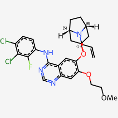 C=CCN1[C@@H]2CC[C@H]1C[C@H](Oc1cc3c(Nc4ccc(Cl)c(Cl)c4F)ncnc3cc1OCCOC)C2